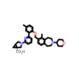 Cc1ccc(OCc2ccc3c(c2C)CCN(C2CCOCC2)CC3)c(-c2cccc(N3CC4C[C@]4(C(=O)O)C3)n2)c1